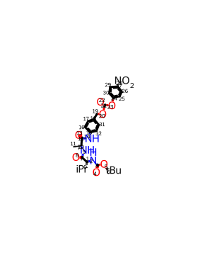 CC(C)C(NC(=O)OC(C)(C)C)C(=O)N[C@@H](C)C(=O)Nc1ccc(COC(=O)Oc2ccc([N+](=O)[O-])cc2)cc1